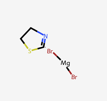 [Br][Mg][Br].[C]1=NCCS1